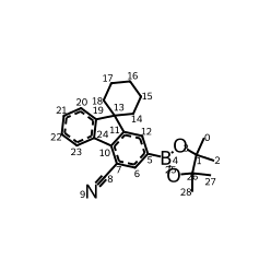 CC1(C)OB(c2cc(C#N)c3c(c2)C2(CCCCC2)c2ccccc2-3)OC1(C)C